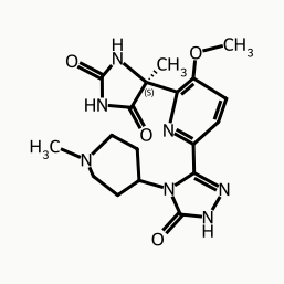 COc1ccc(-c2n[nH]c(=O)n2C2CCN(C)CC2)nc1[C@]1(C)NC(=O)NC1=O